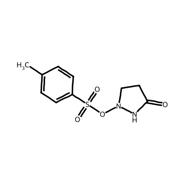 Cc1ccc(S(=O)(=O)ON2CCC(=O)N2)cc1